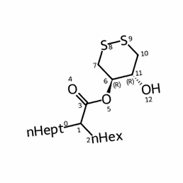 CCCCCCCC(CCCCCC)C(=O)O[C@H]1CSSC[C@@H]1O